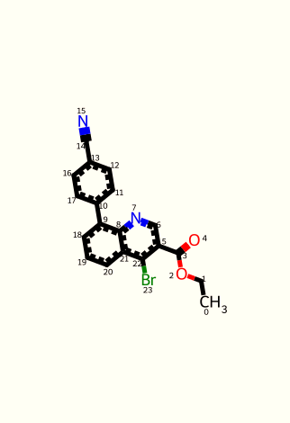 CCOC(=O)c1cnc2c(-c3ccc(C#N)cc3)cccc2c1Br